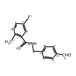 Cc1ncc(F)cc1C(=O)NCc1ccc(C=O)cc1